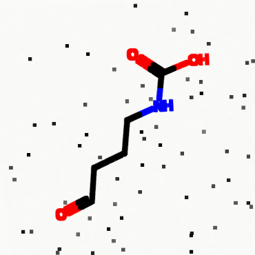 O=CCCCNC(=O)O